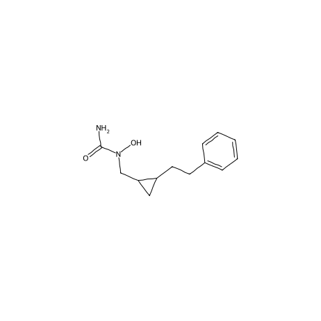 NC(=O)N(O)CC1CC1CCc1ccccc1